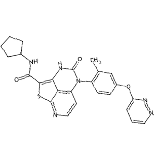 Cc1cc(Oc2cccnn2)ccc1N1C(=O)Nc2c(C(=O)NC3CCCC3)sc3nccc1c23